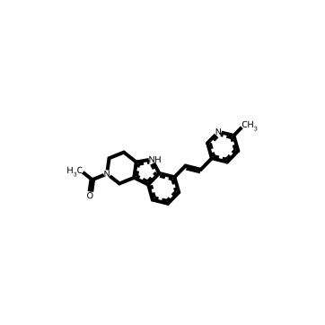 CC(=O)N1CCc2[nH]c3c(/C=C/c4ccc(C)nc4)cccc3c2C1